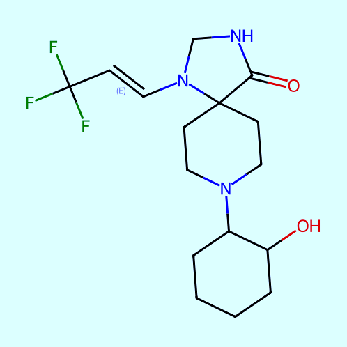 O=C1NCN(/C=C/C(F)(F)F)C12CCN(C1CCCCC1O)CC2